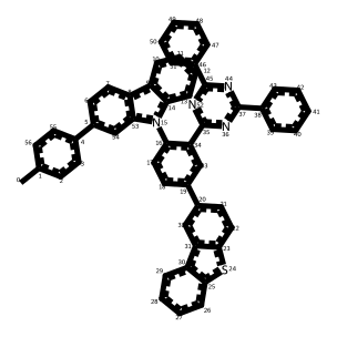 Cc1ccc(-c2ccc3c4ccccc4n(-c4ccc(-c5ccc6sc7ccccc7c6c5)cc4-c4nc(-c5ccccc5)nc(-c5ccccc5)n4)c3c2)cc1